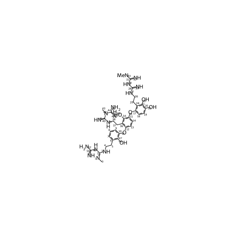 C/N=C(\NCCc1cccc(Oc2ccc(Oc3ccc(O)c(O)c3CCNC(=N)NC(=N)NC)c(O)c2CCNC(=N)N(C)C(=N)N)c1O)NC(=N)N